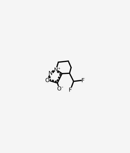 [O-]c1on[n+]2c1C(C(F)F)CCC2